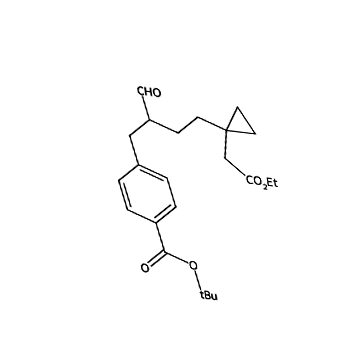 CCOC(=O)CC1(CCC(C=O)Cc2ccc(C(=O)OC(C)(C)C)cc2)CC1